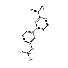 NC(=O)c1cccc(-c2cccc(CB(O)O)c2)c1